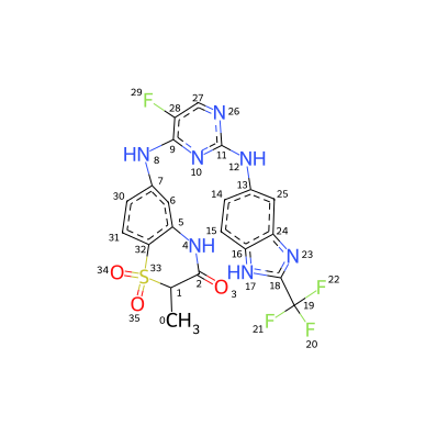 CC1C(=O)Nc2cc(Nc3nc(Nc4ccc5[nH]c(C(F)(F)F)nc5c4)ncc3F)ccc2S1(=O)=O